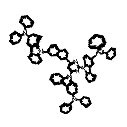 c1ccc(N(c2ccccc2)c2ccc3c(c2)c2ccccc2n3-c2ccc3ccc(-c4cc(-n5c6ccccc6c6cc(N(c7ccccc7)c7ccccc7)ccc65)nc(-n5c6ccccc6c6cc(N(c7ccccc7)c7ccccc7)ccc65)n4)cc3c2)cc1